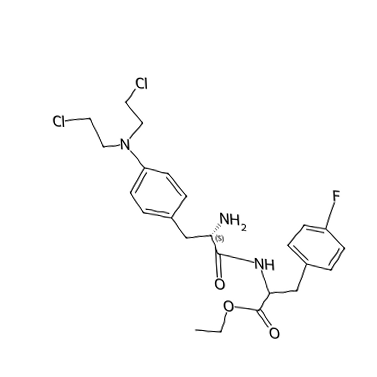 CCOC(=O)C(Cc1ccc(F)cc1)NC(=O)[C@@H](N)Cc1ccc(N(CCCl)CCCl)cc1